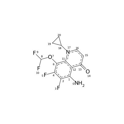 Nc1c(F)c(F)c(OC(F)F)c2c1c(=O)ccn2C1CC1